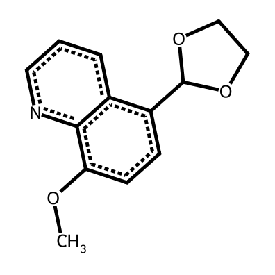 COc1ccc(C2OCCO2)c2cccnc12